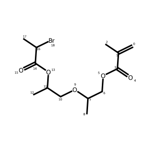 C=C(C)C(=O)OCC(C)OCC(C)OC(=O)C(C)Br